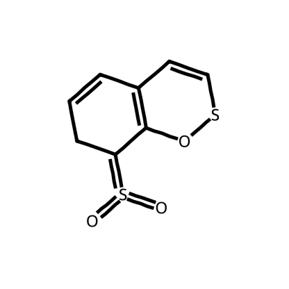 O=S(=O)=C1CC=CC2=C1OSC=C2